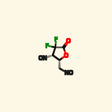 O=NC[C@H]1OC(=O)C(F)(F)[C@H]1N=O